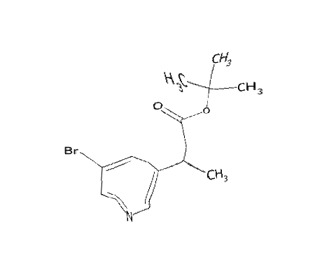 CC(C(=O)OC(C)(C)C)c1cncc(Br)c1